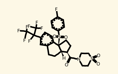 O=C([C@@H]1CC[C@@]2(S(=O)(=O)c3ccc(F)cc3)c3ccc(C(F)(C(F)(F)F)C(F)(F)F)cc3CC[C@@H]12)N1CCS(=O)(=O)CC1